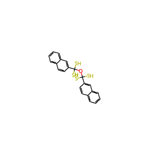 SC(S)(OC(S)(S)c1ccc2ccccc2c1)c1ccc2ccccc2c1